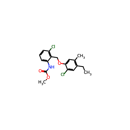 CCc1cc(Cl)c(OCc2c(Cl)cccc2NC(=O)OC)cc1C